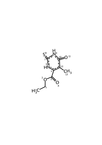 CCOC(=O)c1[nH]c(=S)[nH]c(=O)c1C